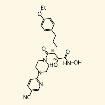 CCOc1ccc(CCC[C@@H](C(=O)N2CCN(c3ccc(C#N)cn3)CC2)[C@H](O)C(=O)NO)cc1